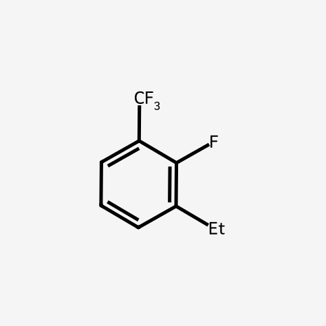 [CH2]Cc1cccc(C(F)(F)F)c1F